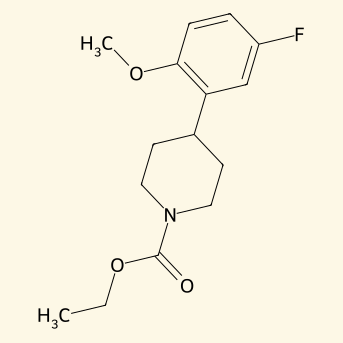 CCOC(=O)N1CCC(c2cc(F)ccc2OC)CC1